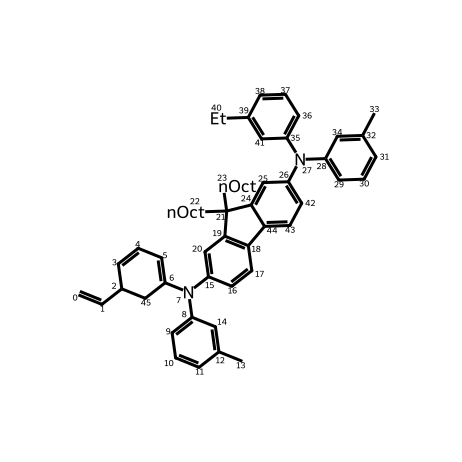 C=CC1C=CC=C(N(c2cccc(C)c2)c2ccc3c(c2)C(CCCCCCCC)(CCCCCCCC)c2cc(N(c4cccc(C)c4)c4cccc(CC)c4)ccc2-3)C1